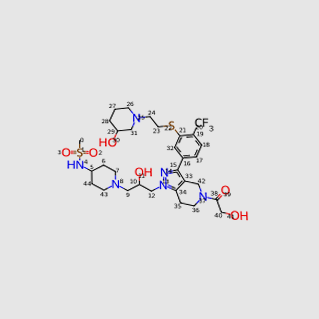 CS(=O)(=O)NC1CCN(CC(O)Cn2nc(-c3ccc(C(F)(F)F)c(SCCN4CCCC(O)C4)c3)c3c2CCN(C(=O)CO)C3)CC1